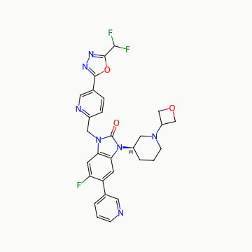 O=c1n(Cc2ccc(-c3nnc(C(F)F)o3)cn2)c2cc(F)c(-c3cccnc3)cc2n1[C@@H]1CCCN(C2COC2)C1